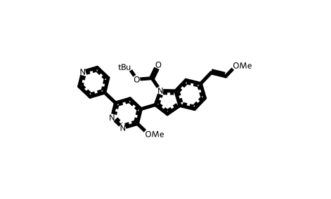 COC=Cc1ccc2cc(-c3cc(-c4ccncc4)nnc3OC)n(C(=O)OC(C)(C)C)c2c1